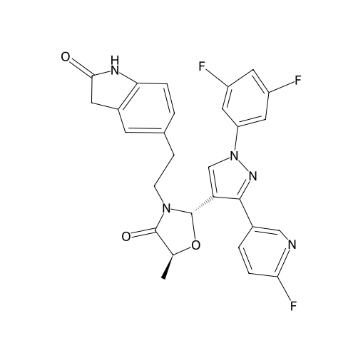 C[C@@H]1O[C@@H](c2cn(-c3cc(F)cc(F)c3)nc2-c2ccc(F)nc2)N(CCc2ccc3c(c2)CC(=O)N3)C1=O